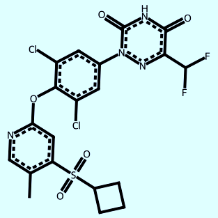 Cc1cnc(Oc2c(Cl)cc(-n3nc(C(F)F)c(=O)[nH]c3=O)cc2Cl)cc1S(=O)(=O)C1CCC1